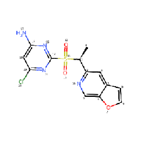 C[C@@H](c1cc2ccoc2cn1)S(=O)(=O)c1nc(N)cc(Cl)n1